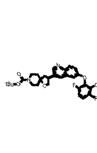 CC(C)(C)OC(=O)N1CCC2(CC1)CC(c1cnc3ccc(Oc4c(F)ccc(F)c4C#N)cc3c1)CO2